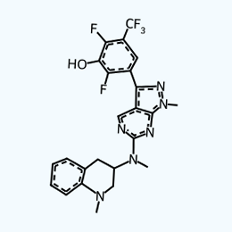 CN1CC(N(C)c2ncc3c(-c4cc(C(F)(F)F)c(F)c(O)c4F)nn(C)c3n2)Cc2ccccc21